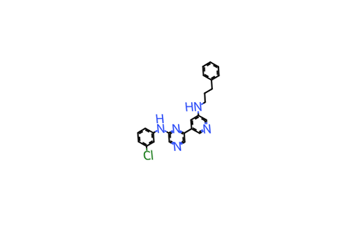 Clc1cccc(Nc2cncc(-c3cncc(NCCCc4ccccc4)c3)n2)c1